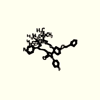 CC(C)(C)[Si](C)(C)OC(CCC1C(=O)N(c2ccc(F)cc2)C1c1ccc(OCc2ccccc2)cc1OCOCC[Si](C)(C)C)c1ccc(F)cc1